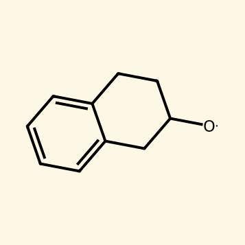 [O]C1CCc2ccccc2C1